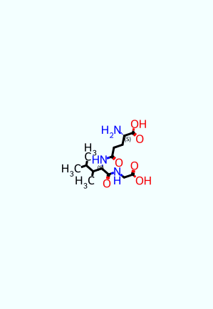 CC(C)C(C)[C@H](NC(=O)CC[C@H](N)C(=O)O)C(=O)NCC(=O)O